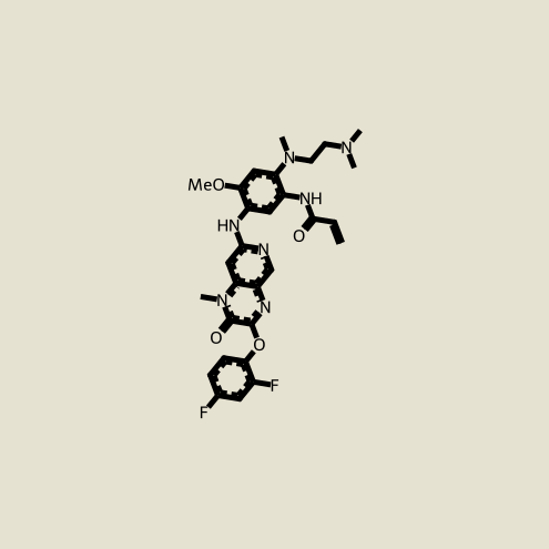 C=CC(=O)Nc1cc(Nc2cc3c(cn2)nc(Oc2ccc(F)cc2F)c(=O)n3C)c(OC)cc1N(C)CCN(C)C